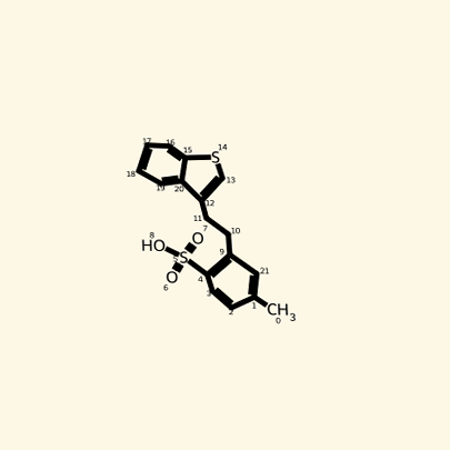 Cc1ccc(S(=O)(=O)O)c(CCc2csc3ccccc23)c1